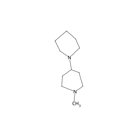 CN1CCC(N2CCCCC2)CC1